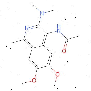 COc1cc2c(C)nc(N(C)C)c(NC(C)=O)c2cc1OC